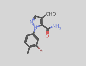 Cc1ccc(-n2ncc(C=O)c2C(N)=O)cc1Br